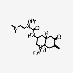 C=C1C[C@@H]2[C@@H](CC1=O)C[C@H](NC(=O)N(CCC)CCN(C)C)CN2CCC